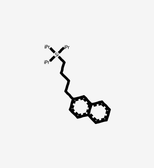 CC(C)[Si](CCCCc1ccc2ccccc2c1)(C(C)C)C(C)C